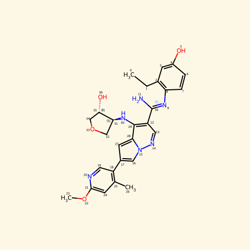 CCc1cc(O)ccc1/N=C(\N)c1cnn2cc(-c3cnc(OC)cc3C)cc2c1N[C@H]1COC[C@@H]1O